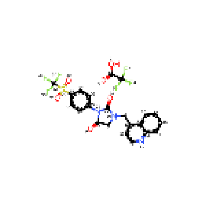 O=C(O)C(F)(F)F.O=C1CN(Cc2ccnc3ccccc23)C(=O)N1c1ccc(S(=O)(=O)C(F)(F)F)cc1